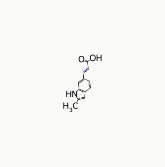 Cc1cc2ccc(/C=C/C(=O)O)cc2[nH]1